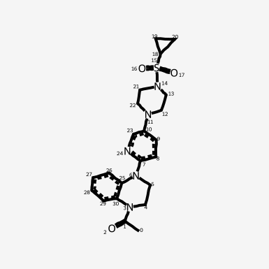 CC(=O)N1CCN(c2ccc(N3CCN(S(=O)(=O)C4CC4)CC3)cn2)c2ccccc21